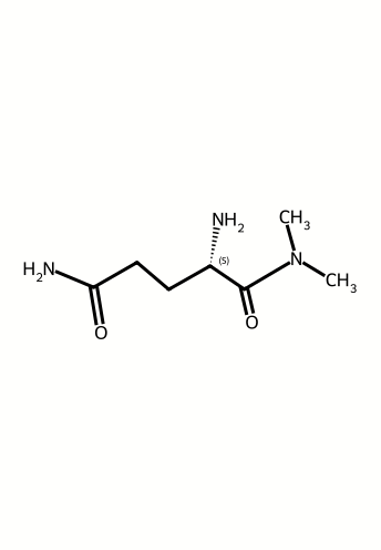 CN(C)C(=O)[C@@H](N)CCC(N)=O